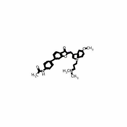 COc1ccc2c(c1)c(/C=C1\Oc3cc(-c4ccc(NC(C)=O)cc4)ccc3C1=O)cn2CCCN(C)C